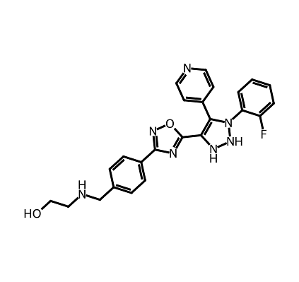 OCCNCc1ccc(-c2noc(C3=C(c4ccncc4)N(c4ccccc4F)NN3)n2)cc1